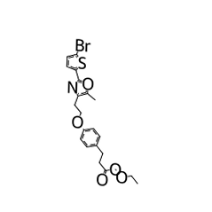 CCOOC(=O)CCc1ccc(OCCc2nc(-c3ccc(Br)s3)oc2C)cc1